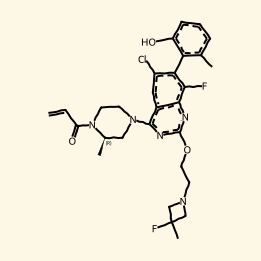 C=CC(=O)N1CCN(c2nc(OCCN3CC(C)(F)C3)nc3c(F)c(-c4c(C)cccc4O)c(Cl)cc23)C[C@H]1C